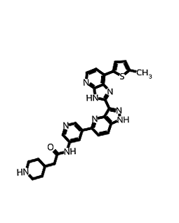 Cc1ccc(-c2ccnc3[nH]c(-c4n[nH]c5ccc(-c6cncc(NC(=O)CC7CCNCC7)c6)nc45)nc23)s1